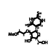 COCCOC1C(O)[C@@H](CO)O[C@H]1c1c[nH]c(=S)[nH]c1=S